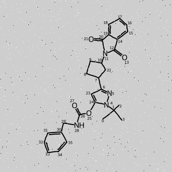 CC(C)(C)n1nc(C2CCC(N3C(=O)c4ccccc4C3=O)C2)cc1OC(=O)NCc1ccccc1